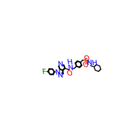 O=C(NCc1ccc(CS(=O)(=O)NCC2CCCCC2)cc1)c1cncc2c1cnn2-c1ccc(F)cc1